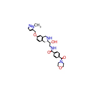 Cn1nccc1COc1ccc2c(c1)CN[C@H]([C@H](O)CNC(=O)c1ccc(C(=O)N3CCOCC3)cc1)C2